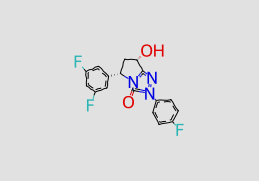 O=c1n(-c2ccc(F)cc2)nc2n1[C@H](c1cc(F)cc(F)c1)C[C@@H]2O